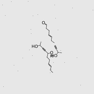 C#CC(C)O.CCC=CCCC(O)C#CC(C)O.CCC=CCCC=O